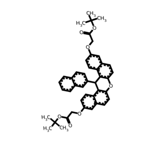 CC(C)(C)OC(=O)COc1ccc2c3c(ccc2c1)Oc1ccc2cc(OCC(=O)OC(C)(C)C)ccc2c1C3c1ccc2ccccc2c1